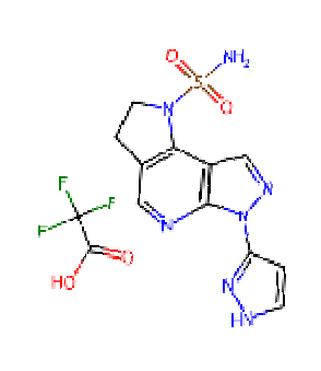 NS(=O)(=O)N1CCc2cnc3c(cnn3-c3cc[nH]n3)c21.O=C(O)C(F)(F)F